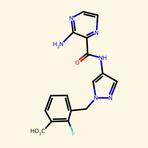 Nc1nccnc1C(=O)Nc1cnn(Cc2cccc(C(=O)O)c2F)c1